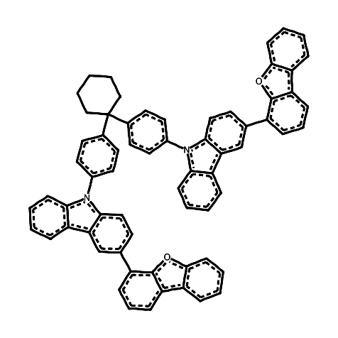 c1ccc2c(c1)oc1c(-c3ccc4c(c3)c3ccccc3n4-c3ccc(C4(c5ccc(-n6c7ccccc7c7cc(-c8cccc9c8oc8ccccc89)ccc76)cc5)CCCCC4)cc3)cccc12